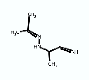 CC(C)=NNC(C)C=N